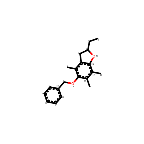 [CH2]CC1Cc2c(C)c(OCc3ccccc3)c(C)c(C)c2O1